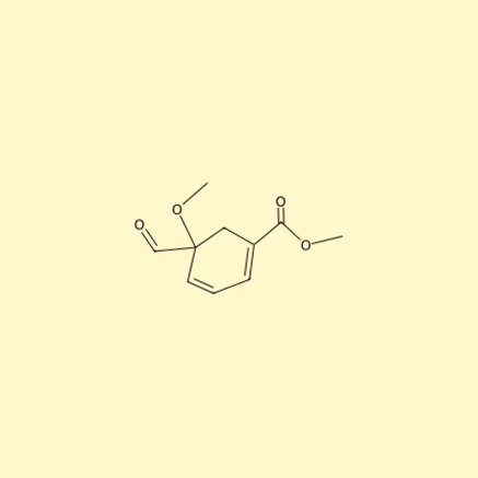 COC(=O)C1=CC=CC(C=O)(OC)C1